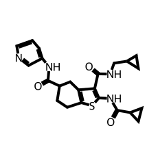 O=C(NCC1CC1)c1c(NC(=O)C2CC2)sc2c1CC(C(=O)Nc1cccnc1)CC2